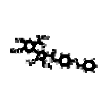 COC(=O)c1cc(C#N)c(OC)cc1-c1cc(C(=O)Nc2ccc(OCc3ccccc3)cc2)c(C)n1C